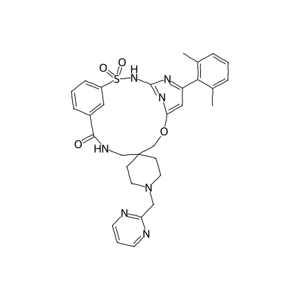 Cc1cccc(C)c1-c1cc2nc(n1)NS(=O)(=O)c1cccc(c1)C(=O)NCC1(CCN(Cc3ncccn3)CC1)CO2